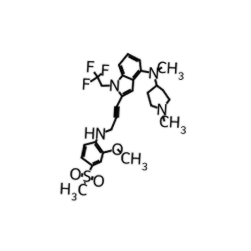 COc1cc(S(C)(=O)=O)ccc1NCC#Cc1cc2c(N(C)C3CCN(C)CC3)cccc2n1CC(F)(F)F